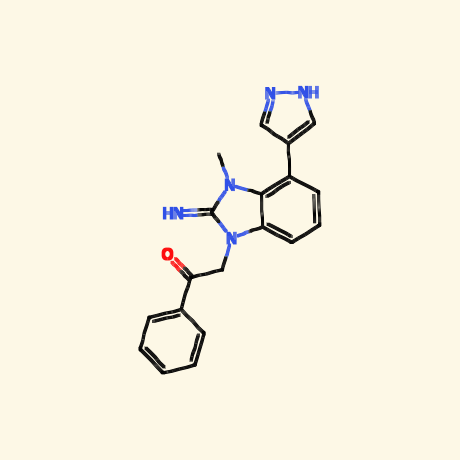 Cn1c(=N)n(CC(=O)c2ccccc2)c2cccc(-c3cn[nH]c3)c21